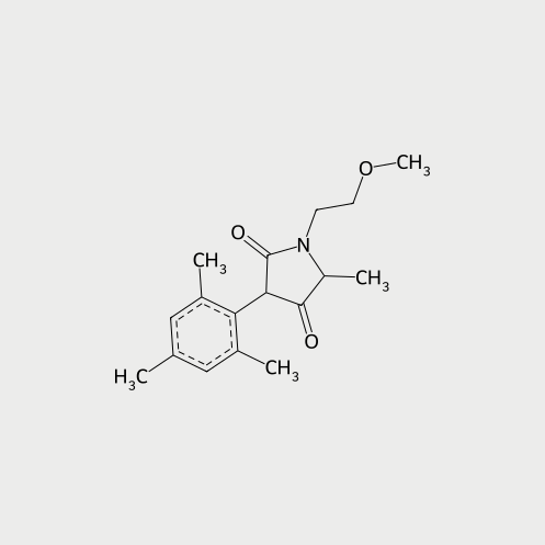 COCCN1C(=O)C(c2c(C)cc(C)cc2C)C(=O)C1C